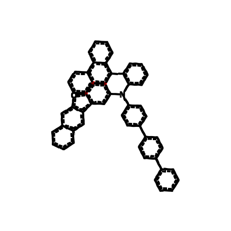 c1ccc(-c2ccc(-c3ccc(N(c4ccc5oc6cc7ccccc7cc6c5c4)c4ccccc4-c4cc5ccccc5c5ccccc45)cc3)cc2)cc1